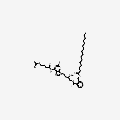 CCCCCCCCCCCCCCCC(=O)OCc1ccccc1C(=O)OCC(CCn1cnc2c(NC(=O)CCCSC(C)=O)nc(F)nc21)OC